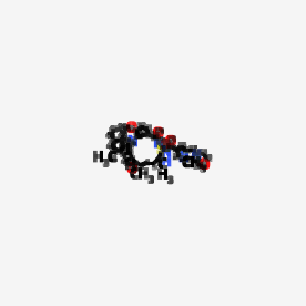 CO[C@H]1/C=C/C[C@H](C)C[S@@](=O)(NC(=O)c2cc(CN3CCOCC3)n(C)c2)=NC(=O)c2ccc3c(c2)N(C[C@@H]2CC[C@H]21)C[C@@]1(CCCc2cc(C)ccc21)CO3